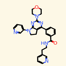 O=C(NCCc1cccnc1)c1cccc(-c2nc(N3CCOCC3)nc3c2CCN3c2cccnc2)c1